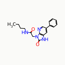 CCCCNC(=O)Cn1c(=O)[nH]c2cc(-c3ccccc3)cnc21